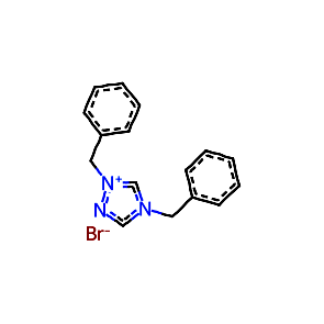 [Br-].c1ccc(Cn2cn[n+](Cc3ccccc3)c2)cc1